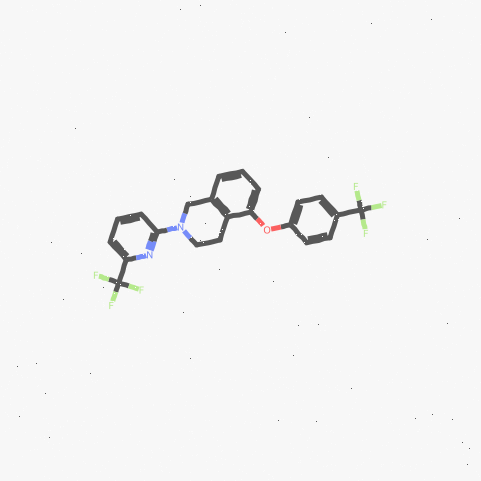 FC(F)(F)c1ccc(Oc2cccc3c2CCN(c2cccc(C(F)(F)F)n2)C3)cc1